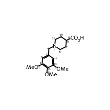 COc1cc(CN2CCC(C(=O)O)CC2)cc(OC)c1OC